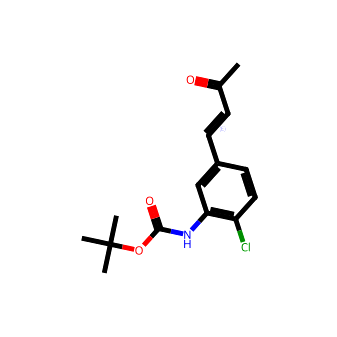 CC(=O)/C=C/c1ccc(Cl)c(NC(=O)OC(C)(C)C)c1